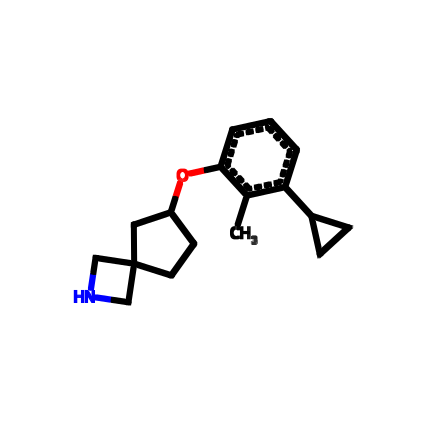 Cc1c(OC2CCC3(CNC3)C2)cccc1C1CC1